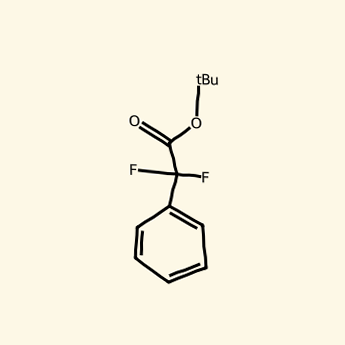 CC(C)(C)OC(=O)C(F)(F)c1ccccc1